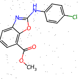 COC(=O)c1cccc2nc(Nc3ccc(Cl)cc3)oc12